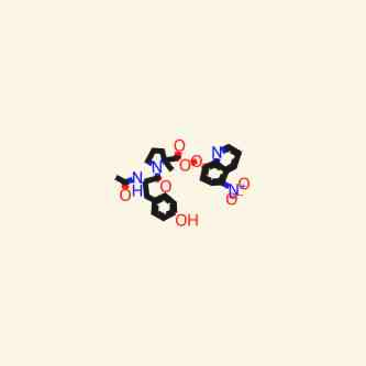 CC(=O)NC(Cc1ccc(O)cc1)C(=O)N1CCCC1(C)C(=O)OOc1ccc([N+](=O)[O-])c2cccnc12